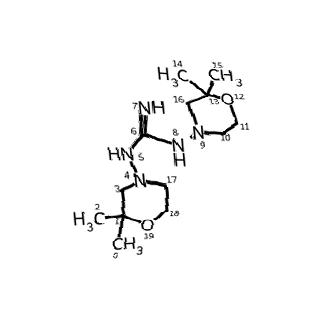 CC1(C)CN(NC(=N)NN2CCOC(C)(C)C2)CCO1